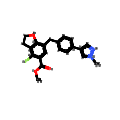 COC(=O)c1cc(Cc2ccc(-c3cnn(C)c3)cc2)c2c(c1F)CCO2